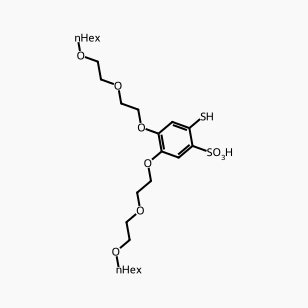 CCCCCCOCCOCCOc1cc(S)c(S(=O)(=O)O)cc1OCCOCCOCCCCCC